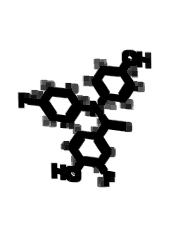 C=C(c1ccc(O)c(F)c1)N(c1ccc(O)cc1)c1ccc(F)cc1